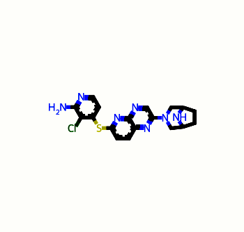 Nc1nccc(Sc2ccc3nc(N4CC5CCC(C4)N5)cnc3n2)c1Cl